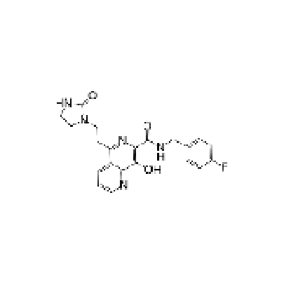 O=C(NCc1ccc(F)cc1)c1nc(CCN2CCNC2=O)c2cccnc2c1O